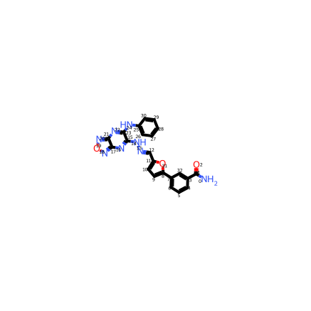 NC(=O)c1cccc(-c2ccc(C=NNc3nc4nonc4nc3Nc3ccccc3)o2)c1